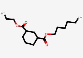 CC(C)CCCCCOC(=O)C1CCCC(C(=O)OCCC(C)C)C1